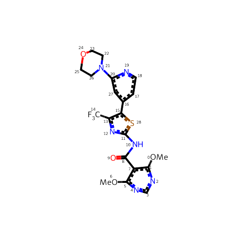 COc1ncnc(OC)c1C(=O)Nc1nc(C(F)(F)F)c(-c2ccnc(N3CCOCC3)c2)s1